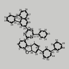 C1=CC2c3c(cccc3-c3nc(-c4ccccc4)nc(-c4cc5c6c(cccc6c4)-c4ccccc4-5)n3)OC2C=C1c1cccc(-c2ccccc2)c1